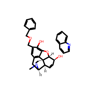 CN1CC[C@]23c4c5cc(COCc6ccccc6)c(O)c4O[C@H]2[C@@H](O)C=C[C@H]3[C@H]1C5.c1ccc2ncccc2c1